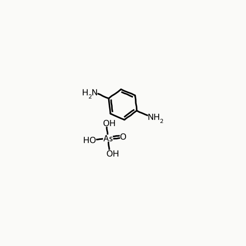 Nc1ccc(N)cc1.O=[As](O)(O)O